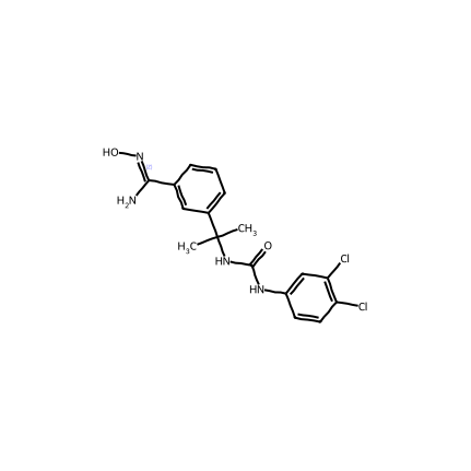 CC(C)(NC(=O)Nc1ccc(Cl)c(Cl)c1)c1cccc(/C(N)=N/O)c1